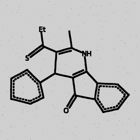 CCC(=S)C1=C(C)NC2=C(C(=O)c3ccccc32)C1c1ccccc1